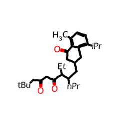 CCCC(CC1CC(=O)c2c(C)ccc(C(C)C)c2C1)C(CC)C(=O)CC(=O)CC(C)(C)C